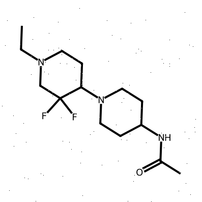 CCN1CCC(N2CCC(NC(C)=O)CC2)C(F)(F)C1